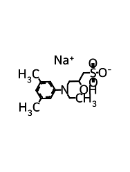 CCN(CC(O)CS(=O)(=O)[O-])c1cc(C)cc(C)c1.[Na+]